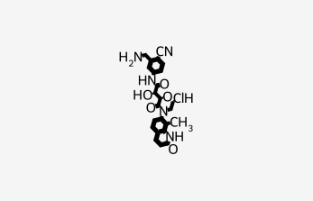 Cc1c(N2CCO[C@H]([C@@H](O)C(=O)Nc3ccc(C#N)c(CN)c3)C2=O)ccc2ccc(=O)[nH]c12.Cl